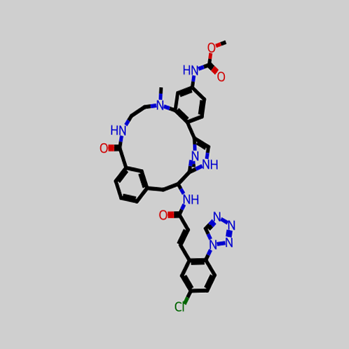 COC(=O)Nc1ccc2c(c1)N(C)CCNC(=O)c1cccc(c1)CC(NC(=O)/C=C/c1cc(Cl)ccc1-n1cnnn1)c1nc-2c[nH]1